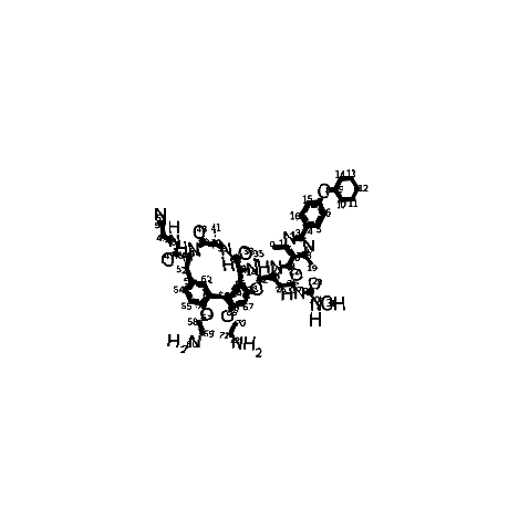 Cc1nc(-c2ccc(OC3CCCCC3)cc2)nc(C)c1C(=O)NC(CCNC(=O)NO)C(=O)N(C)[C@@H]1C(=O)N[C@@H](C)C(=O)N[C@H](C(=O)NCC#N)Cc2ccc(OCCN)c(c2)-c2cc1ccc2OCCN